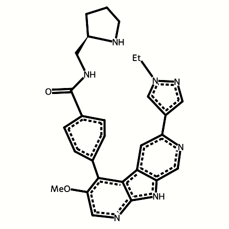 CCn1cc(-c2cc3c(cn2)[nH]c2ncc(OC)c(-c4ccc(C(=O)NC[C@H]5CCCN5)cc4)c23)cn1